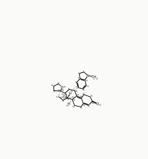 CN1CCc2cc([C@H]3C[C@@]4(C)[C@@H](CC[C@@]45CCCO5)[C@@H]4CCC5=CC(=O)CCC5=C43)ccc21